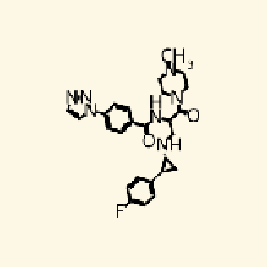 CN1CCN(C(=O)C(CN[C@@H]2C[C@H]2c2ccc(F)cc2)NC(=O)c2ccc(-n3ccnn3)cc2)CC1